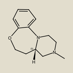 CN1CCN2c3ccccc3OCC[C@H]2C1